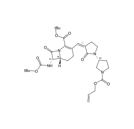 C=CCOC(=O)N1CC[C@@H](N2CC/C(=C/C3=C(C(=O)OC(C)(C)C)N4C(=O)[C@@H](NC(=O)OC(C)(C)C)[C@H]4CC3)C2=O)C1